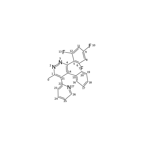 Cc1nnc(-c2c(F)cc(F)cc2F)c(-c2ccccc2)c1-c1ccccn1